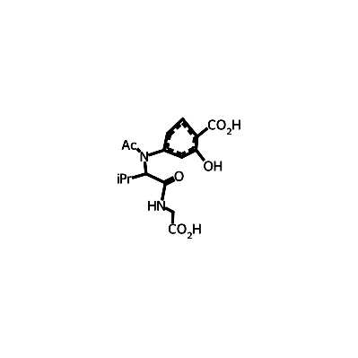 CC(=O)N(c1ccc(C(=O)O)c(O)c1)C(C(=O)NCC(=O)O)C(C)C